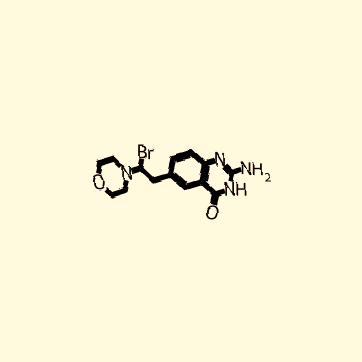 Nc1nc2ccc(CC(Br)N3CCOCC3)cc2c(=O)[nH]1